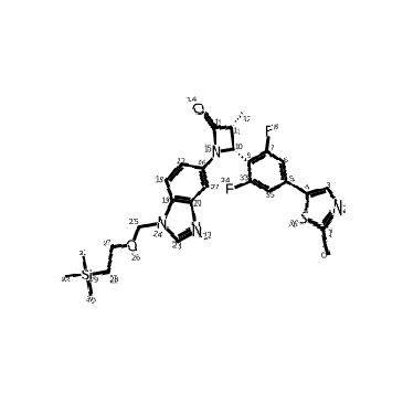 Cc1ncc(-c2cc(F)c([C@H]3[C@@H](C)C(=O)N3c3ccc4c(c3)ncn4COCC[Si](C)(C)C)c(F)c2)s1